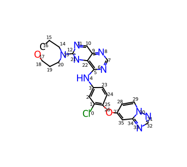 Clc1cc(Nc2ncnc3cnc(N4CCCOCCC4)nc23)ccc1Oc1ccn2ncnc2c1